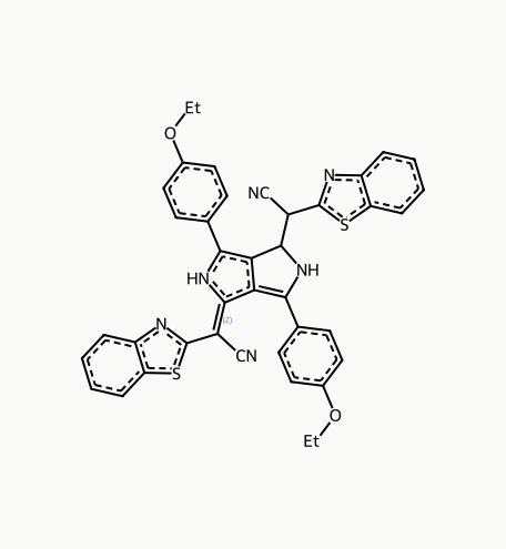 CCOc1ccc(C2=c3c(c(-c4ccc(OCC)cc4)[nH]/c3=C(/C#N)c3nc4ccccc4s3)C(C(C#N)c3nc4ccccc4s3)N2)cc1